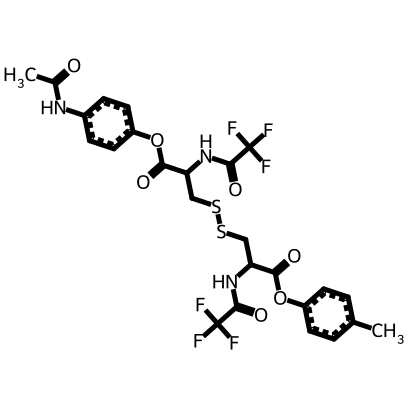 CC(=O)Nc1ccc(OC(=O)C(CSSCC(NC(=O)C(F)(F)F)C(=O)Oc2ccc(C)cc2)NC(=O)C(F)(F)F)cc1